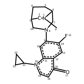 CN1CC2CCC1CN(c1cc3c(cc1F)c(=O)ccn3C1CC1)C2